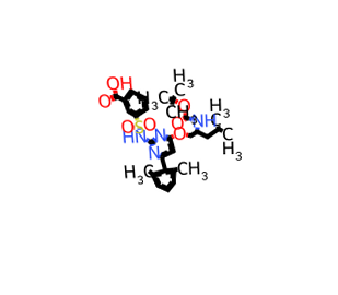 Cc1cccc(C)c1-c1cc(OCC(CC(C)C)NC(=O)OC(C)(C)C)nc(NS(=O)(=O)c2cccc(C(=O)O)c2)n1